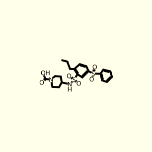 CCCc1ccc(S(=O)(=O)c2ccccc2)cc1S(=O)(=O)NC1CCN(C(=O)O)CC1